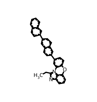 CCc1nc2cccc3c2n1-c1cc(-c2ccc4cc(-c5ccc6ccccc6c5)ccc4c2)ccc1O3